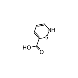 O=C(O)C1=CC=CNS1